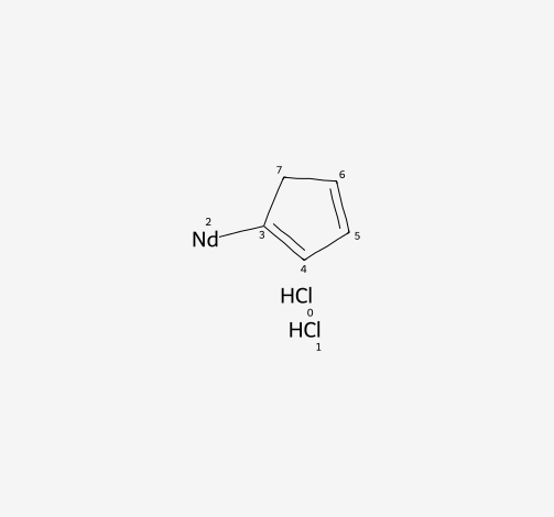 Cl.Cl.[Nd][C]1=CC=CC1